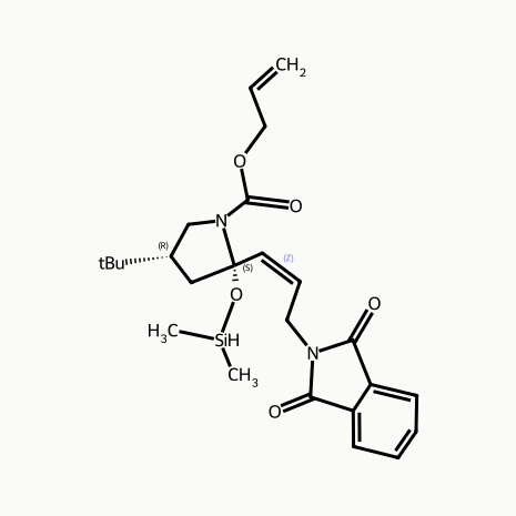 C=CCOC(=O)N1C[C@@H](C(C)(C)C)C[C@@]1(/C=C\CN1C(=O)c2ccccc2C1=O)O[SiH](C)C